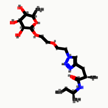 CN[C@@H](Cc1cn(CCOCCOC2OC(C(=O)O)C(O)[C@H](O)[C@@H]2O)nn1)C(=O)N[C@H](CSC)C(=O)O